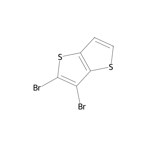 Brc1sc2ccsc2c1Br